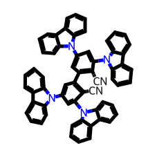 N#Cc1c(-c2cc(-n3c4ccccc4c4ccccc43)cc(-n3c4ccccc4c4ccccc43)c2C#N)cc(-n2c3ccccc3c3ccccc32)cc1-n1c2ccccc2c2ccccc21